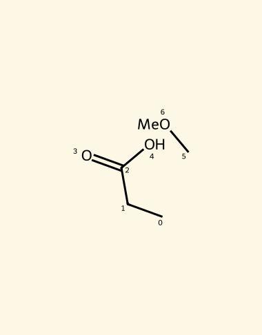 CCC(=O)O.COC